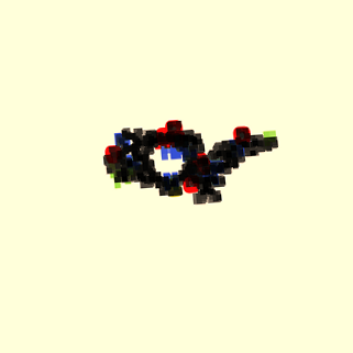 CO[C@@H](C)c1ncccc1-c1c2c3cc(ccc3n1CC(F)(F)F)-c1csc(n1)C[C@H](NC(=O)[C@H](C(C)C)N(C)C(=O)N1CCC3(CC1)CN(C(=O)/C=C/CF)C3)C(=O)N1CCC[C@@](O)(N1)C(=O)OCC(C)(C)C2